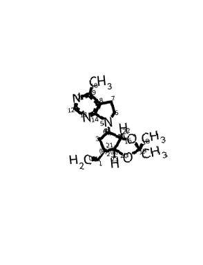 C=C[C@H]1C[C@@H](N2CCc3c(C)ncnc32)[C@@H]2OC(C)(C)O[C@@H]21